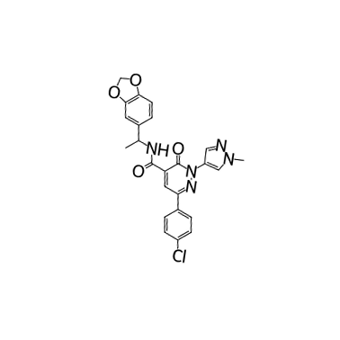 CC(NC(=O)c1cc(-c2ccc(Cl)cc2)nn(-c2cnn(C)c2)c1=O)c1ccc2c(c1)OCO2